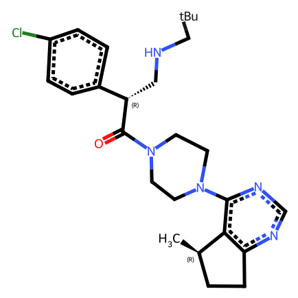 C[C@@H]1CCc2ncnc(N3CCN(C(=O)[C@@H](CNCC(C)(C)C)c4ccc(Cl)cc4)CC3)c21